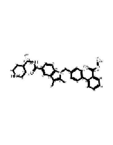 Cc1c(C)n(Cc2ccc(-c3ccccc3C(=O)OC(C)(C)C)cc2)c2ccc(C(=O)N[C@@H](C)C3CCNCC3)cc12